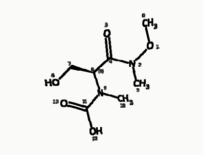 CON(C)C(=O)[C@H](CO)N(C)C(=O)O